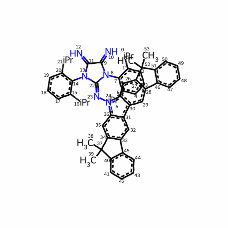 CC(C)c1cccc(C(C)C)c1N1C(=N)C(=N)N(c2c(C(C)C)cccc2C(C)C)C1=Nn1c2cc3c(cc2c2cc4c(cc21)C(C)(C)c1ccccc1-4)-c1ccccc1C3(C)C